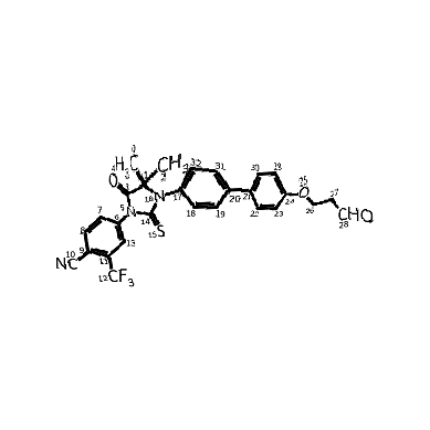 CC1(C)C(=O)N(c2ccc(C#N)c(C(F)(F)F)c2)C(=S)N1c1ccc(-c2ccc(OCCC=O)cc2)cc1